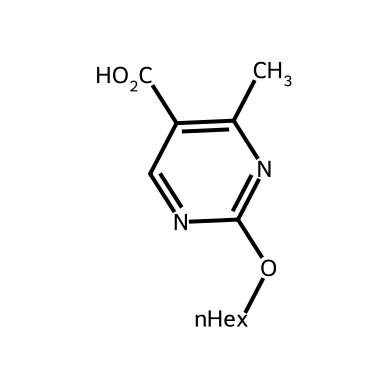 CCCCCCOc1ncc(C(=O)O)c(C)n1